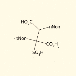 CCCCCCCCCC(C(=O)O)C(CCCCCCCCC)(C(=O)O)S(=O)(=O)O